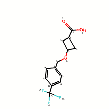 O=C(O)C1CC(OCc2ccc(C(F)(F)F)cc2)C1